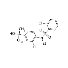 CCN(c1ccc(C(C)(O)C(F)(F)F)cc1Cl)S(=O)(=O)c1ccccc1Cl